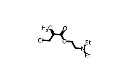 C=C(CCl)C(=O)OCCN(CC)CC